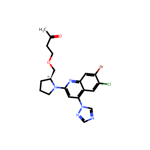 CC(=O)CCOC[C@@H]1CCCN1c1cc(-n2cncn2)c2cc(Cl)c(Br)cc2n1